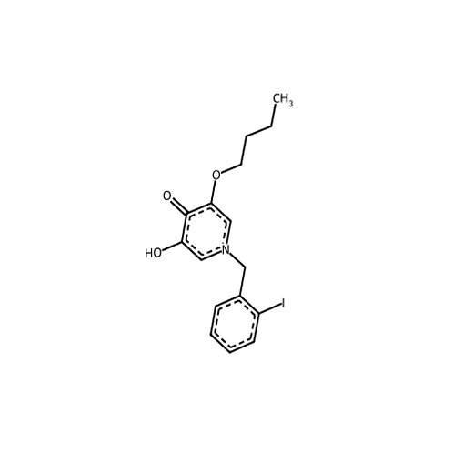 CCCCOc1cn(Cc2ccccc2I)cc(O)c1=O